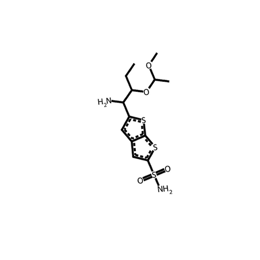 CCC(OC(C)OC)C(N)c1cc2cc(S(N)(=O)=O)sc2s1